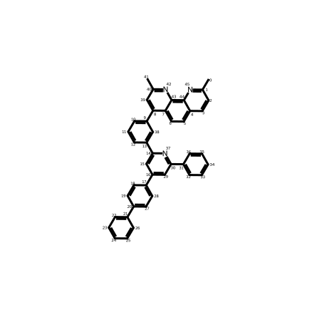 Cc1ccc2ccc3c(-c4cccc(-c5cc(-c6ccc(-c7ccccc7)cc6)cc(-c6ccccc6)n5)c4)cc(C)nc3c2n1